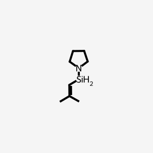 CC(C)=C[SiH2]N1CCCC1